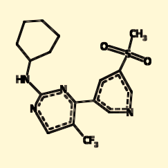 CS(=O)(=O)c1cncc(-c2nc(NC3CCCCC3)ncc2C(F)(F)F)c1